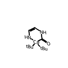 C[C](C)(C)[Ca]1([C](C)(C)C)[NH]C=CN[C]1=O